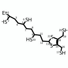 CCC(S)CCC(S)CCC(S)CCC1SC(CS)=C(CS)S1